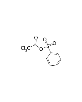 O=C(OS(=O)(=O)c1ccccc1)C(Cl)(Cl)Cl